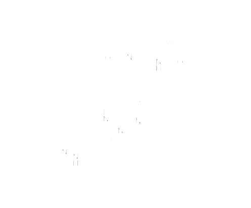 CCOc1cc2[nH]ncc2cc1Nc1ncnc2sc3c(c12)CCC(C(=O)N(C)CCNC(=O)O)C3